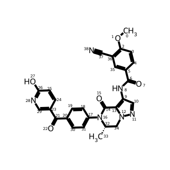 COc1ccc(C(=O)Nc2cnn3c2C(=O)N(c2ccc(C(=O)c4ccc(O)nc4)cc2)[C@@H](C)C3)cc1C#N